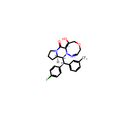 O=C1/C2=C(\O)COC/C=N\N2[C@@H]([C@H](c2ccc(F)cc2)c2cccc(C(F)(F)F)c2)[C@H]2CCCN12